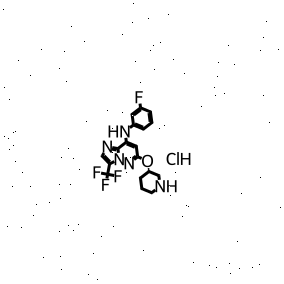 Cl.Fc1cccc(Nc2cc(O[C@H]3CCCNC3)nn3c(C(F)(F)F)cnc23)c1